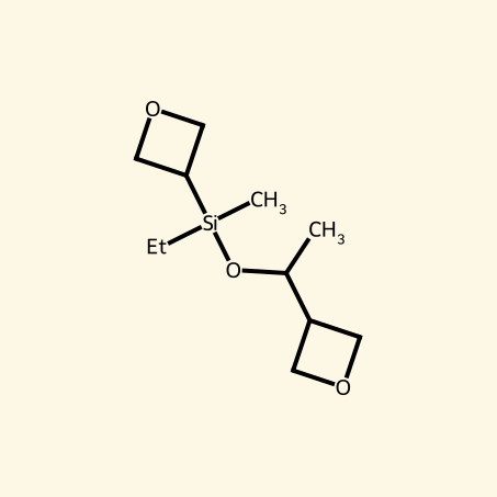 CC[Si](C)(OC(C)C1COC1)C1COC1